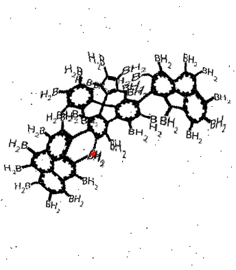 BC1=C(B)C(B)C(C2(c3c(B)c(B)c(B)c(B)c3B)c3c(B)c(-c4c(B)c(B)c5c(B)c(B)c6c(B)c(B)c(B)c7c6c5c4C7B)c(B)c(B)c3-c3c(B)c(B)c(-c4c(B)c(B)c5c(B)c(B)c6c(B)c(B)c(B)c7c(B)c(B)c4c5c67)c(B)c32)=C1B